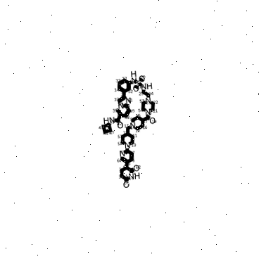 O=C1CCC(c2ccc(N3CCC(CN4CCC(C(=O)N5CCN(CCNS(=O)(=O)Nc6cccc(-c7cn8cc(C(=O)NC9CCC9)ccc8n7)c6)CC5)CC4)CC3)nc2)C(=O)N1